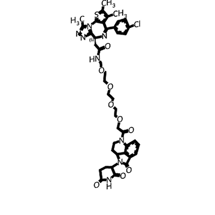 Cc1sc2c(c1C)C(c1ccc(Cl)cc1)=N[C@@H](CC(=O)NCOCCOCCOCCOCC(=O)N1CCC3c4c(cccc41)C(=O)N3C1CCC(=O)NC1=O)c1nnc(C)n1-2